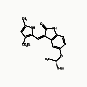 CCCCCC[C@H](C)Oc1cc2c(cn1)NC(=O)/C2=C\c1[nH]c(C)cc1C(=O)OCC